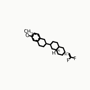 COc1ccc2c(c1)CCC(C1CCC3C[C@H](C=C(F)F)CC[C@@H]3C1)C2